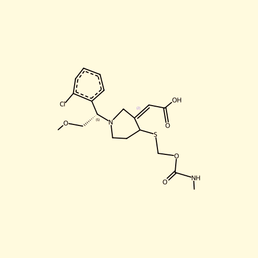 CNC(=O)OCSC1CCN([C@H](COC)c2ccccc2Cl)C/C1=C/C(=O)O